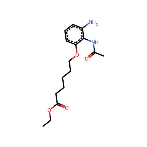 CCOC(=O)CCCCCOc1cccc(N)c1NC(C)=O